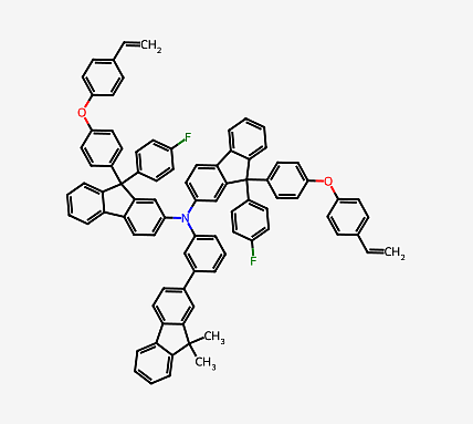 C=Cc1ccc(Oc2ccc(C3(c4ccc(F)cc4)c4ccccc4-c4ccc(N(c5cccc(-c6ccc7c(c6)C(C)(C)c6ccccc6-7)c5)c5ccc6c(c5)C(c5ccc(F)cc5)(c5ccc(Oc7ccc(C=C)cc7)cc5)c5ccccc5-6)cc43)cc2)cc1